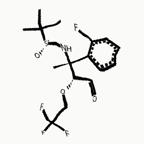 CC(C)(C)[S@@+]([O-])N[C@](C)(c1ccccc1F)[C@H](C=O)OCC(F)(F)F